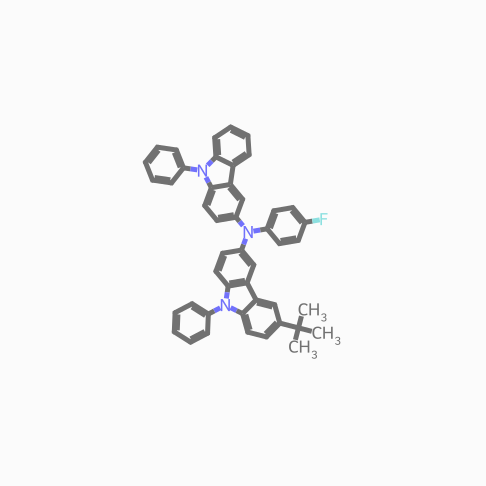 CC(C)(C)c1ccc2c(c1)c1cc(N(c3ccc(F)cc3)c3ccc4c(c3)c3ccccc3n4-c3ccccc3)ccc1n2-c1ccccc1